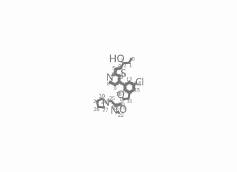 CCC(O)c1cc2nccc(-c3cc(Cl)cc4c3O[C@@H](c3ocnc3CN3CCCC3)C4)c2s1